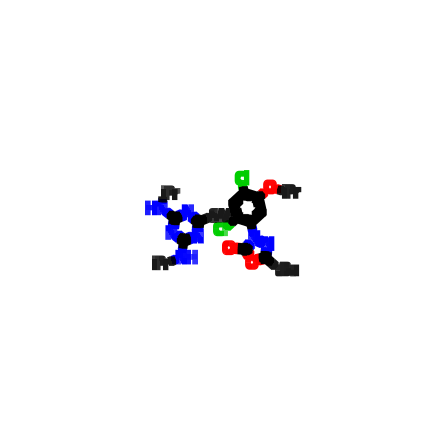 CC(C)Oc1cc(-n2nc(C(C)(C)C)oc2=O)c(Cl)cc1Cl.CSc1nc(NC(C)C)nc(NC(C)C)n1